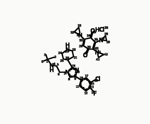 CC(C)(C)NCCn1cc(-c2ccc(F)c(Cl)c2)nc1C1CCNCC1.Cl.O=C1C=C(N2CC2)C(=O)C(N2CC2)=C1N1CC1